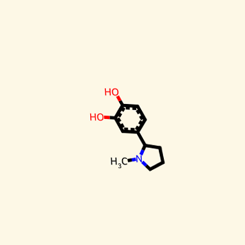 CN1CCCC1c1ccc(O)c(O)c1